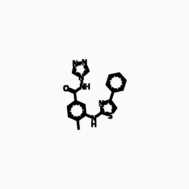 Cc1ccc(C(=O)Nn2cnnc2)cc1Nc1nc(-c2ccccc2)cs1